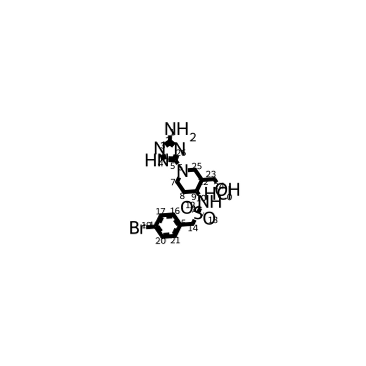 Cl.Nc1n[nH]c(N2CCC(NS(=O)(=O)Cc3ccc(Br)cc3)C(CO)C2)n1